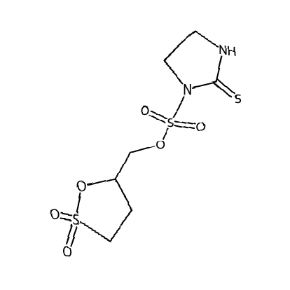 O=S1(=O)CCC(COS(=O)(=O)N2CCNC2=S)O1